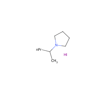 CCCC(C)N1CCCC1.I